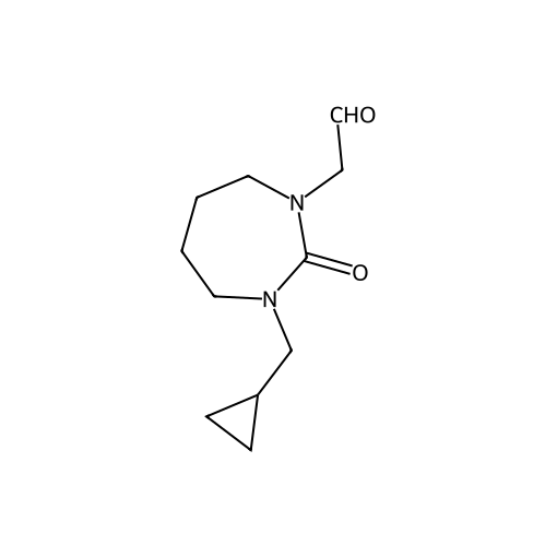 O=CCN1CCCCN(CC2CC2)C1=O